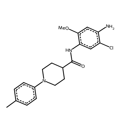 COc1cc(N)c(Cl)cc1NC(=O)C1CCN(c2ccc(C)cc2)CC1